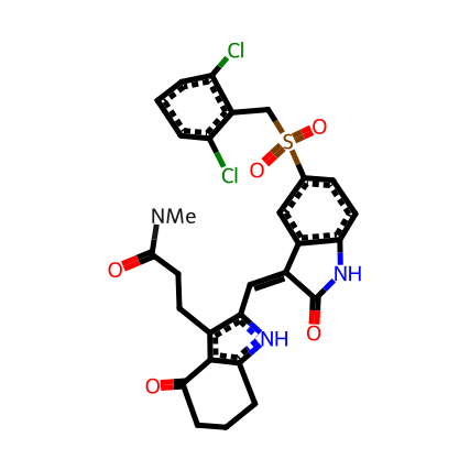 CNC(=O)CCc1c(/C=C2\C(=O)Nc3ccc(S(=O)(=O)Cc4c(Cl)cccc4Cl)cc32)[nH]c2c1C(=O)CCC2